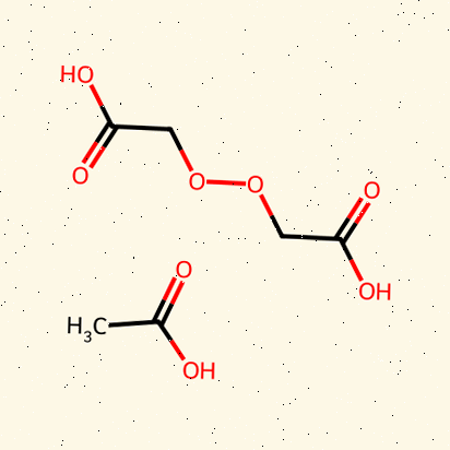 CC(=O)O.O=C(O)COOCC(=O)O